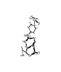 CC(C)C(C)c1nc(Cl)c2cnc(NC3CCN(S(C)(=O)=O)CC3)nn12